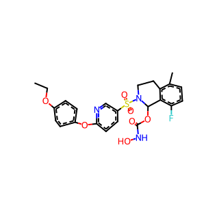 CCOc1ccc(Oc2ccc(S(=O)(=O)N3CCc4c(C)ccc(F)c4C3OC(=O)NO)cn2)cc1